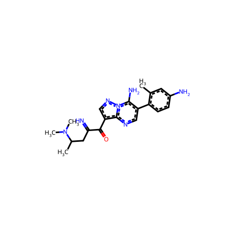 Cc1cc(N)ccc1-c1cnc2c(C(=O)C(=N)CC(C)N(C)C)cnn2c1N